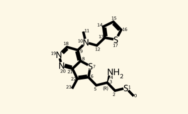 CSC[C@H](N)Cc1sc2c(N(C)Cc3cccs3)cnnc2c1C